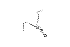 CCCCC/C=C\C/C=C\CCCCCCCC1OC2(CCC(NC(=O)OCc3ccccc3)CC2)OC1CCCCCCC/C=C\C/C=C\CCCCC